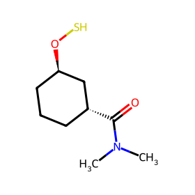 CN(C)C(=O)[C@@H]1CCC[C@@H](OS)C1